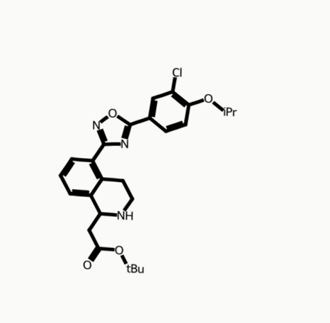 CC(C)Oc1ccc(-c2nc(-c3cccc4c3CCNC4CC(=O)OC(C)(C)C)no2)cc1Cl